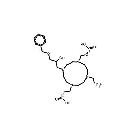 O=C(O)CN1CCN(CO[PH](=O)O)CCN(CC(O)COCc2ccccc2)CCN(CO[PH](=O)O)CC1